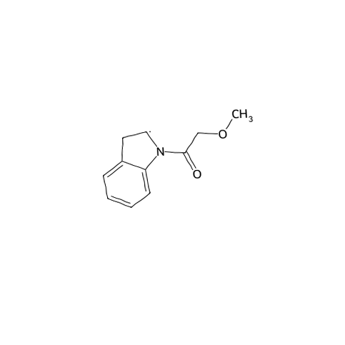 COCC(=O)N1[CH]Cc2ccccc21